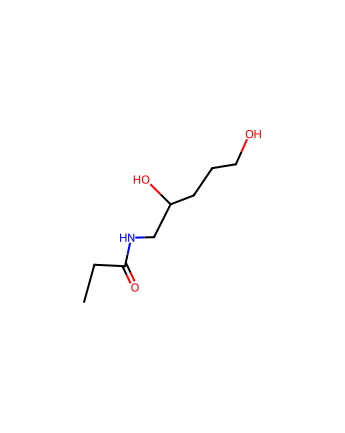 CCC(=O)NCC(O)CCCO